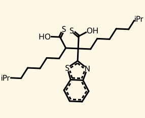 CC(C)CCCCCC(C(O)=S)C(CCCCCC(C)C)(C(O)=S)c1nc2ccccc2s1